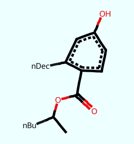 CCCCCCCCCCc1cc(O)ccc1C(=O)OC(C)CCCC